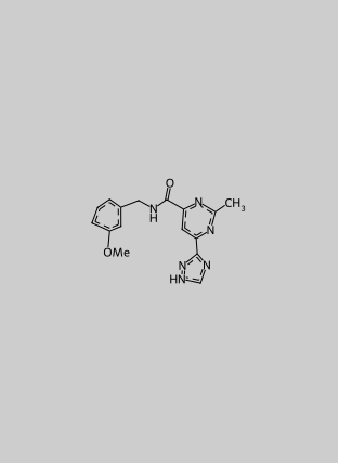 COc1cccc(CNC(=O)c2cc(-c3nc[nH]n3)nc(C)n2)c1